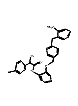 CCCC(C(=O)Nc1ccccc1OCc1ccc(Cc2ccccc2C(=O)O)cc1)c1ccc(C)cc1